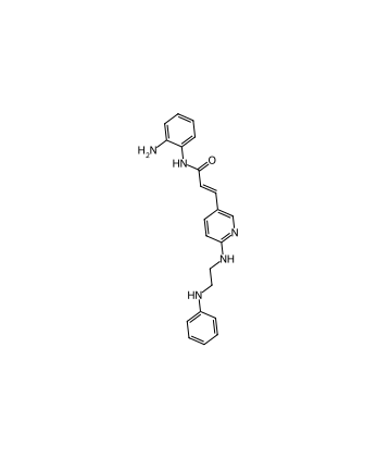 Nc1ccccc1NC(=O)C=Cc1ccc(NCCNc2ccccc2)nc1